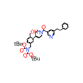 CC(C)(C)OC(=O)N(Cc1ccc(CO)c(C2=CCN(C(=O)c3cncc(CCc4ccccc4)c3)CC2)c1)C(=O)OC(C)(C)C